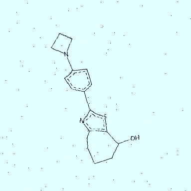 OC1CCCc2nc(-c3ccc(N4CCC4)cc3)sc21